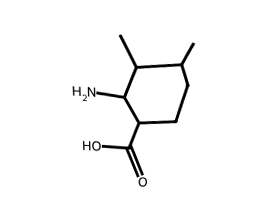 CC1CCC(C(=O)O)C(N)C1C